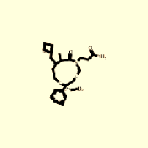 CCC(C)C[C@]1(c2ccccc2)CCCC(CC2(O)CCC2)C(C)C(=O)N(CCC(N)=O)CCC1